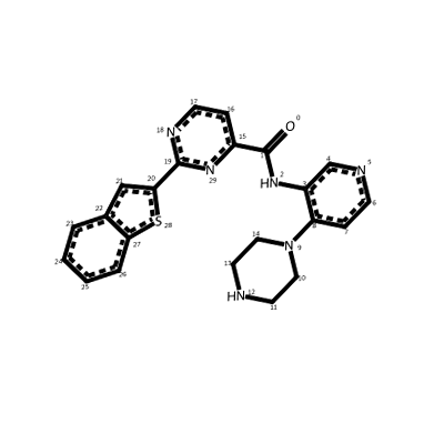 O=C(Nc1cnccc1N1CCNCC1)c1ccnc(-c2cc3ccccc3s2)n1